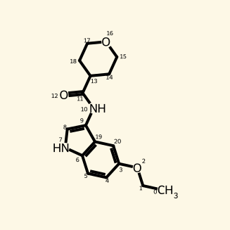 CCOc1ccc2[nH]cc(NC(=O)C3CCOCC3)c2c1